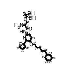 NC(COP(=O)(O)O)C(=O)Nc1ccc(OCCCCCc2ccccc2)c(-c2ccco2)n1